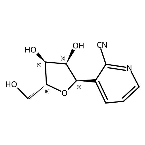 N#Cc1ncccc1[C@H]1O[C@H](CO)[C@@H](O)[C@H]1O